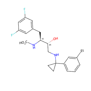 CCc1cccc(C2(NC[C@@H](O)[C@H](Cc3cc(F)cc(F)c3)NC(=O)O)CC2)c1